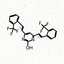 Oc1nc(/C=C/c2ccccc2C(F)(F)F)cc(/C=C/c2ccccc2C(F)(F)F)n1